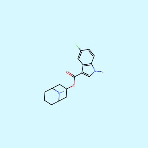 CN1C2CCCC1CC(OC(=O)c1cn(C)c3ccc(F)cc13)C2